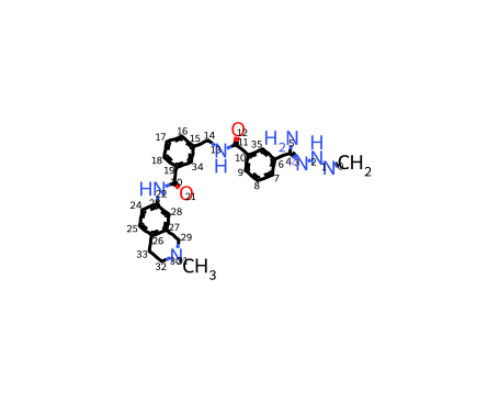 C=NN/N=C(\N)c1cccc(C(=O)NCc2cccc(C(=O)Nc3ccc4c(c3)CN(C)CC4)c2)c1